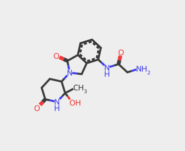 CC1(O)NC(=O)CCC1N1Cc2c(NC(=O)CN)cccc2C1=O